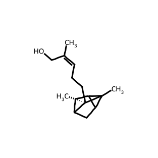 C/C(=C/CC[C@]1(C)C2CC3C(C2)C31C)CO